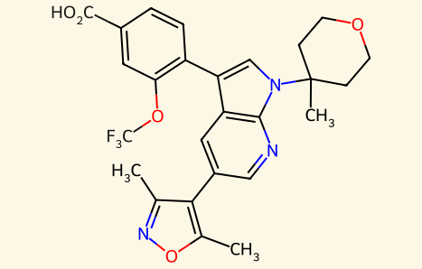 Cc1noc(C)c1-c1cnc2c(c1)c(-c1ccc(C(=O)O)cc1OC(F)(F)F)cn2C1(C)CCOCC1